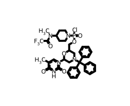 Cc1cn(C2CN(C(c3ccccc3)(c3ccccc3)c3ccccc3)CC(COP(=O)(Cl)N3CCC(N(C)C(=O)C(F)(F)F)CC3)O2)c(=O)[nH]c1=O